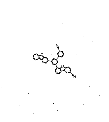 N#Cc1cccc(-c2cc(-c3ccc4c(c3)oc3ccccc34)cc(-c3cccc4c3oc3ccc(C#N)cc34)c2)c1